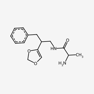 CC(N)C(=O)NCC(Cc1ccccc1)C1=COCO1